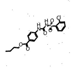 CCCCOC(=O)c1ccc(NC(=O)NS(=O)(=O)c2ccccc2Cl)cc1